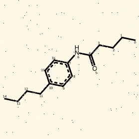 CCCCC(=O)Nc1ccc(CCCC)cc1